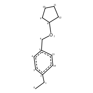 CCc1ccc(COC2CCCC2)cc1